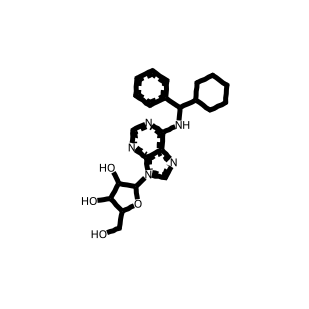 OCC1OC(n2cnc3c(NC(c4ccccc4)C4CCCCC4)ncnc32)C(O)C1O